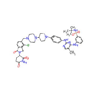 Cc1cnc(Nc2ccc(N3CCC(N4CCN(Cc5ccc6c(c5F)CN(C5CCC(=O)NC5=O)C6=O)CC4)CC3)cc2)nc1Nc1cccc(S(=O)(=O)NC(C)(C)C)c1